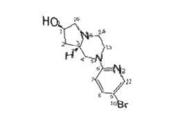 O[C@@H]1C[C@H]2CN(c3ccc(Br)cn3)CCN2C1